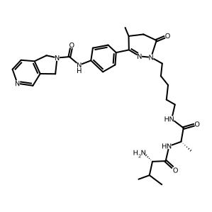 CC1CC(=O)N(CCCCCNC(=O)[C@H](C)NC(=O)[C@@H](N)C(C)C)N=C1c1ccc(NC(=O)N2Cc3ccncc3C2)cc1